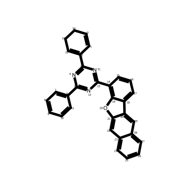 C1=CC(c2nc(-c3ccccc3)nc(-c3cccc4c3oc3cc5ccccc5cc34)n2)=CCC1